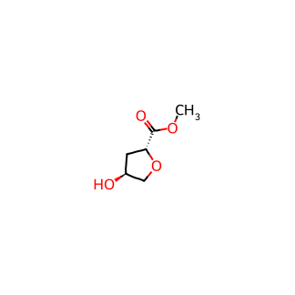 COC(=O)[C@H]1C[C@H](O)CO1